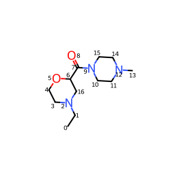 CCN1CCOC(C(=O)N2CCN(C)CC2)C1